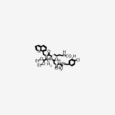 CCOC(OCC)[C@H](C)N(Cc1cccc2cccnc12)C(=O)[C@H](CCCCNC(=O)O)NC(=O)CN(C)NC(=O)NCc1ccc(Cl)cc1